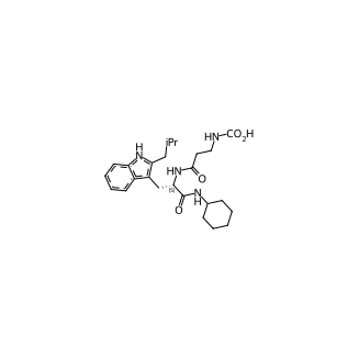 CC(C)Cc1[nH]c2ccccc2c1C[C@H](NC(=O)CCNC(=O)O)C(=O)NC1CCCCC1